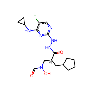 O=CN(O)C[C@H](CC1CCCC1)C(=O)NNc1ncc(F)c(NC2CC2)n1